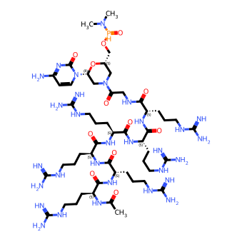 CC(=O)N[C@@H](CCCNC(=N)N)C(=O)N[C@@H](CCCNC(=N)N)C(=O)N[C@@H](CCCNC(=N)N)C(=O)N[C@@H](CCCNC(=N)N)C(=O)N[C@@H](CCCNC(=N)N)C(=O)N[C@@H](CCCNC(=N)N)C(=O)NCC(=O)N1C[C@@H](CO[PH](=O)N(C)C)O[C@@H](n2ccc(N)nc2=O)C1